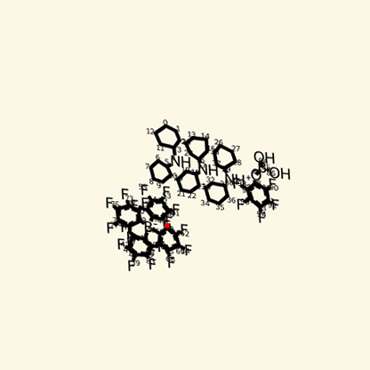 C1CCC(NC2CCCCC2)CC1.C1CCC(NC2CCCCC2)CC1.C1CCC([NH2+]C2CCCCC2)CC1.Fc1c(F)c(F)c([B-](c2c(F)c(F)c(F)c(F)c2F)(c2c(F)c(F)c(F)c(F)c2F)c2c(F)c(F)c(F)c(F)c2F)c(F)c1F.OB(O)Oc1c(F)c(F)c(F)c(F)c1F